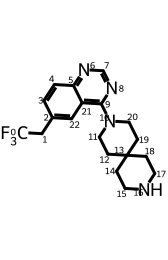 FC(F)(F)Cc1ccc2ncnc(N3CCC4(CCNCC4)CC3)c2c1